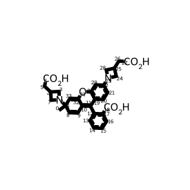 CC1(N2CC(CC(=O)O)C2)C=CC2=C(c3ccccc3C(=O)O)c3ccc(N4CC(CC(=O)O)C4)cc3OC2=C1